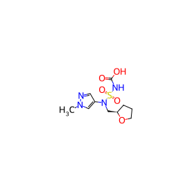 Cn1cc(N(C[C@H]2CCCO2)S(=O)(=O)NC(=O)O)cn1